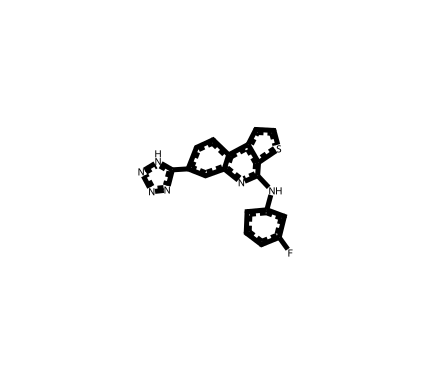 Fc1cccc(Nc2nc3cc(-c4nnn[nH]4)ccc3c3ccsc23)c1